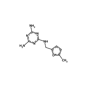 Cc1ccc(CNc2nc(N)nc(N)n2)o1